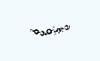 O=C(NC1=CC=C(CN2CCN(c3ccc(Cl)cc3)CC2)CCC1)c1cc2sc(N3CCOCC3)nc2s1